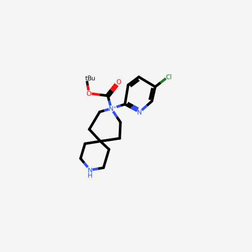 CC(C)(C)OC(=O)[N+]1(c2ccc(Cl)cn2)CCC2(CCNCC2)CC1